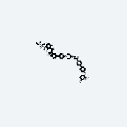 CCN(C)S(=O)(=O)Nc1ccc(F)c(C(=O)c2c[nH]c3ncc(-c4ccc(N5CCC(NCC(=O)N6CCC(c7ccc(O[C@@H]8CCC(=O)NC8=O)cc7)CC6)CC5)nc4)cc23)c1F